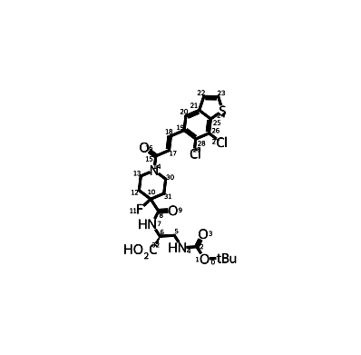 CC(C)(C)OC(=O)NC[C@H](NC(=O)C1(F)CCN(C(=O)/C=C/c2cc3ccsc3c(Cl)c2Cl)CC1)C(=O)O